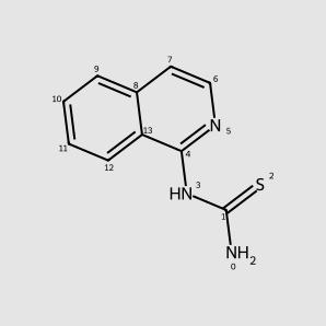 NC(=S)Nc1nccc2ccccc12